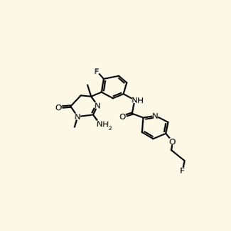 CN1C(=O)CC(C)(c2cc(NC(=O)c3ccc(OCCF)cn3)ccc2F)N=C1N